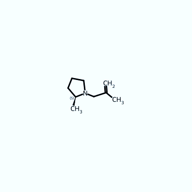 C=C(C)CN1CCC[C@@H]1C